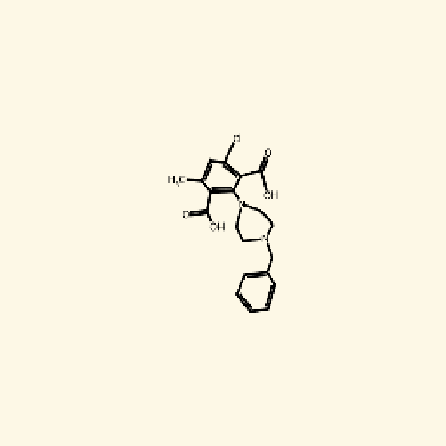 Cc1cc(Cl)c(C(=O)O)c(N2CCN(Cc3ccccc3)CC2)c1C(=O)O